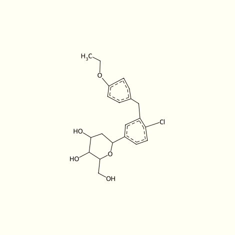 CCOc1ccc(Cc2cc(C3CC(O)C(O)C(CO)O3)ccc2Cl)cc1